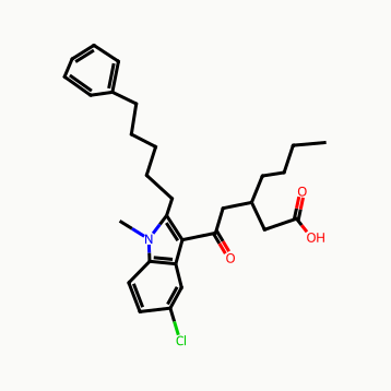 CCCCC(CC(=O)O)CC(=O)c1c(CCCCCc2ccccc2)n(C)c2ccc(Cl)cc12